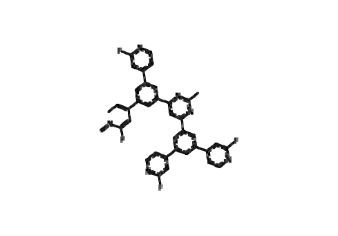 C=N/C(F)=C\C(=C/C)c1cc(-c2ccnc(F)c2)cc(-c2cc(-c3cc(-c4ccnc(F)c4)cc(-c4ccnc(F)c4)c3)nc(C)n2)c1